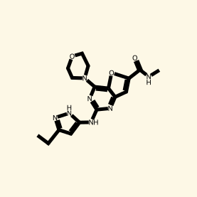 CCc1cc(Nc2nc(N3CCOCC3)c3oc(C(=O)NC)cc3n2)[nH]n1